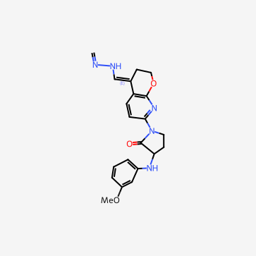 C=NN/C=C1\CCOc2nc(N3CCC(Nc4cccc(OC)c4)C3=O)ccc21